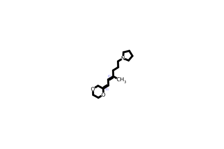 C/C(=C\C=C1/COCCO1)CCCN1CCCC1